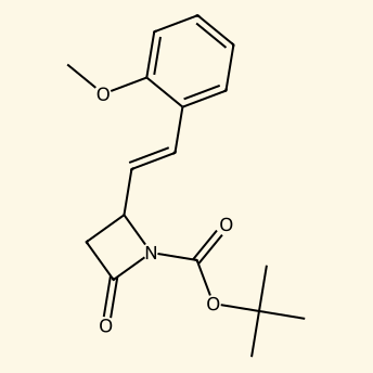 COc1ccccc1C=CC1CC(=O)N1C(=O)OC(C)(C)C